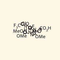 COCc1cnc(NCc2ccc(OC)cc2OC)c2c(-c3ccc(C(=O)Nc4cc(C(F)(F)F)ccn4)cc3F)nc([C@@H]3CCCN(C(=O)O)C3)n12